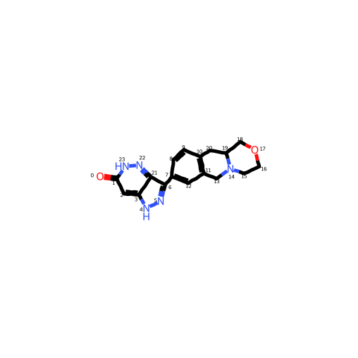 O=c1cc2[nH]nc(-c3ccc4c(c3)CN3CCOCC3C4)c2n[nH]1